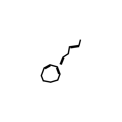 C1=CCCCCC=C1.C=CCC=CC